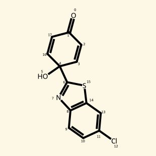 O=C1C=CC(O)(c2nc3ccc(Cl)cc3s2)C=C1